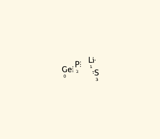 [Ge].[Li].[P].[S]